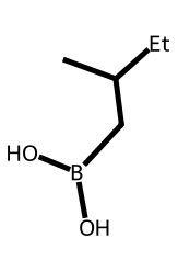 CCC(C)CB(O)O